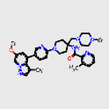 CCOc1cc(-c2ccc(N3CCC(CN4CCN(CC)CC4)(NC(=O)c4ncccc4C)CC3)nc2)c2c(C#N)cnn2c1